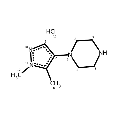 Cc1c(N2CCNCC2)cnn1C.Cl